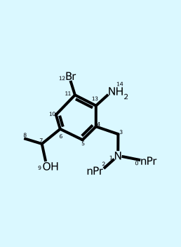 CCCN(CCC)Cc1cc(C(C)O)cc(Br)c1N